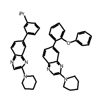 CC(C)c1cccc(-c2ccc3ncc(N4CCCCC4)nc3c2)c1.c1ccc(Oc2ccccc2-c2ccc3ncc(N4CCCCC4)nc3c2)cc1